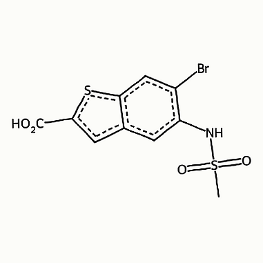 CS(=O)(=O)Nc1cc2cc(C(=O)O)sc2cc1Br